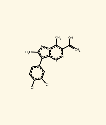 C=C(O)c1nnc2c(-c3ccc(Cl)c(Cl)c3)c(C)nn2c1C